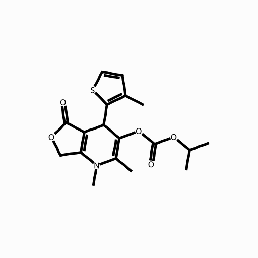 CC1=C(OC(=O)OC(C)C)C(c2sccc2C)C2=C(COC2=O)N1C